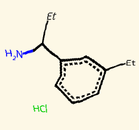 CCc1cccc(C(N)CC)c1.Cl